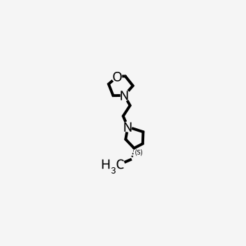 CC[C@H]1CCN(CCN2CCOCC2)C1